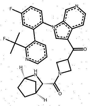 CC(C)(F)c1ncccc1-c1cc(F)ccc1-n1cc(C(=O)C2CN(C(=O)[C@H]3N[C@@H]4CC[C@H]3C4)C2)c2ccncc21